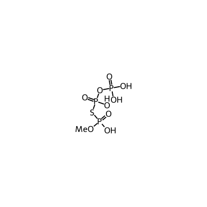 COP(=O)(O)SP(=O)(O)OP(=O)(O)O